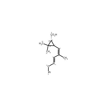 CC(C=NOC(C)C)=CC1[C@@H](C(=O)O)C1(C)C